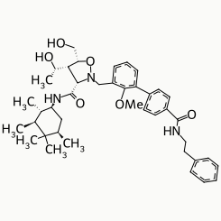 COc1c(CN2O[C@@H](CO)[C@@H]([C@H](C)O)[C@H]2C(=O)N[C@H]2C[C@@H](C)C(C)(C)[C@@H](C)[C@@H]2C)cccc1-c1ccc(C(=O)NCCc2ccccc2)cc1